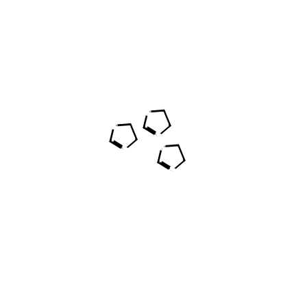 C1=NCCO1.C1=NCCO1.C1=NCCO1.[Cu]